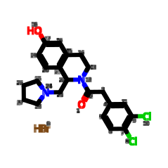 Br.O=C(Cc1ccc(Cl)c(Cl)c1)N1CCc2cc(O)ccc2C1CN1CCCC1